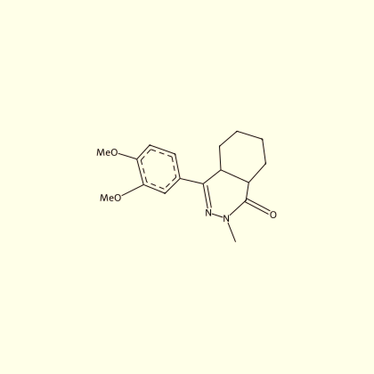 COc1ccc(C2=NN(C)C(=O)C3CCCCC23)cc1OC